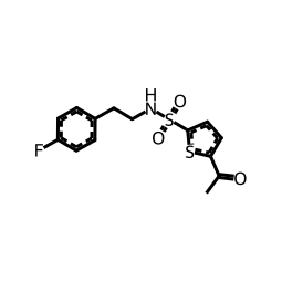 CC(=O)c1ccc(S(=O)(=O)NCCc2ccc(F)cc2)s1